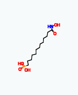 O=C(CCCCCCCCCCCCP(=O)(O)O)NO